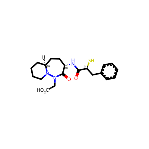 O=C(O)CN1C(=O)[C@@H](NC(=O)[C@@H](S)Cc2ccccc2)CC[C@@H]2CCCCN21